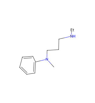 CCNCCCN(C)c1ccccc1